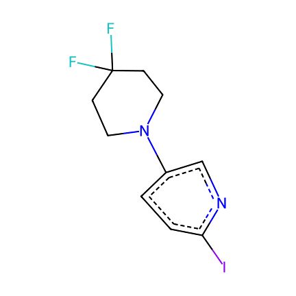 FC1(F)CCN(c2ccc(I)nc2)CC1